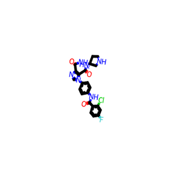 NC(=O)c1ncn(-c2ccc(NC(=O)c3ccc(F)cc3Cl)cc2)c1C(=O)N[C@H]1CCNC1